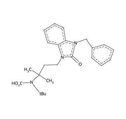 CC(C)(C)N(C(=O)O)C(C)(C)CCn1c(=O)n(Cc2ccccc2)c2ccccc21